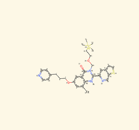 CCc1cc(OCCCc2ccncc2)cc2c(=O)n(COCC[SH](C)(C)(C)C)c(-c3cc4ccsc4cn3)nc12